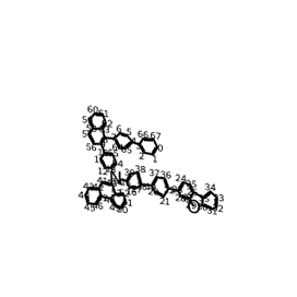 c1ccc(-c2ccc(-c3c(-c4ccc(N(c5ccc(-c6ccc(-c7ccc8c(c7)oc7ccccc78)cc6)cc5)c5cc6ccccc6c6ccccc56)cc4)ccc4ccccc34)cc2)cc1